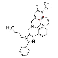 CCCCn1c(-c2ccccc2)nc(-c2ccccc2)c1CN(Cc1ccccc1)Cc1ccc(OC)c(F)c1